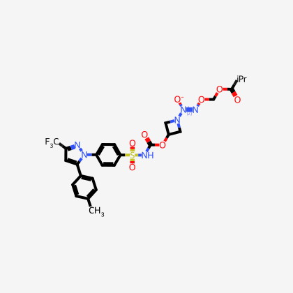 Cc1ccc(-c2cc(C(F)(F)F)nn2-c2ccc(S(=O)(=O)NC(=O)OC3CN(/[N+]([O-])=N/OCOC(=O)C(C)C)C3)cc2)cc1